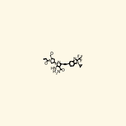 C=CC(=O)N1C[C@@H](n2nc(C#Cc3ccc4c(c3)nc(C(F)(F)F)n4C3CC3)c(C(N)=O)c2NC)C[C@@H]1COC